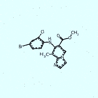 COC(=O)c1cn2ccnc2c(C)c1Nc1ccc(Br)cc1Cl